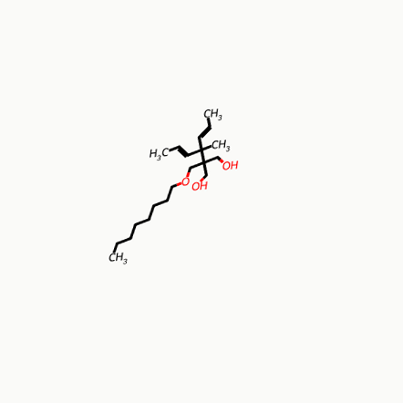 CC=CC(C)(C=CC)C(CO)(CO)COCCCCCCCC